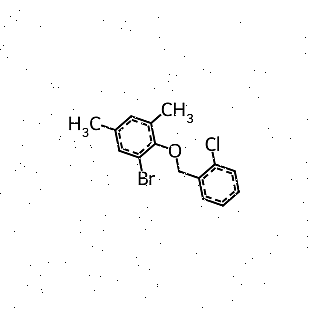 Cc1cc(C)c(OCc2ccccc2Cl)c(Br)c1